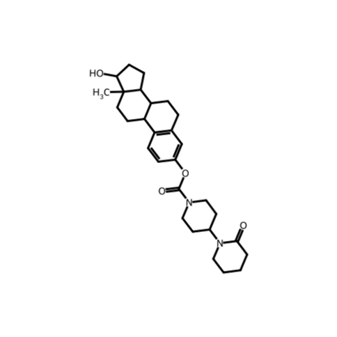 CC12CCC3c4ccc(OC(=O)N5CCC(N6CCCCC6=O)CC5)cc4CCC3C1CCC2O